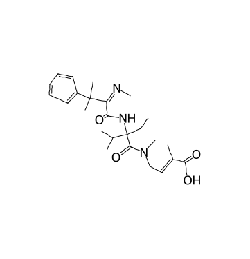 CCC(NC(=O)/C(=N\C)C(C)(C)c1ccccc1)(C(=O)N(C)C/C=C(\C)C(=O)O)C(C)C